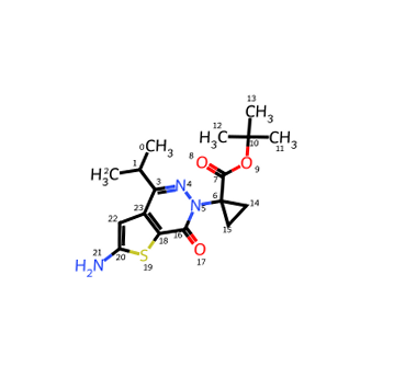 CC(C)c1nn(C2(C(=O)OC(C)(C)C)CC2)c(=O)c2sc(N)cc12